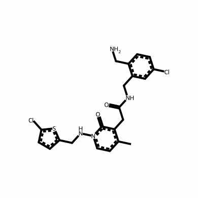 Cc1ccn(NCc2ccc(Cl)s2)c(=O)c1CC(=O)NCc1cc(Cl)ccc1CN